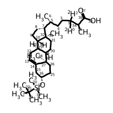 [2H]C([2H])(CC[C@@H](C)[C@H]1CC[C@H]2[C@@H]3CC=C4C[C@@H](O[Si](C)(C)C(C)(C)C)CC[C@]4(C)[C@H]3CC[C@]12C)C(C)C(=O)O